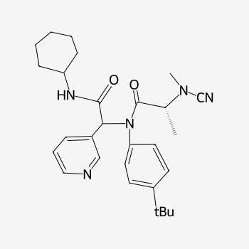 C[C@H](C(=O)N(c1ccc(C(C)(C)C)cc1)C(C(=O)NC1CCCCC1)c1cccnc1)N(C)C#N